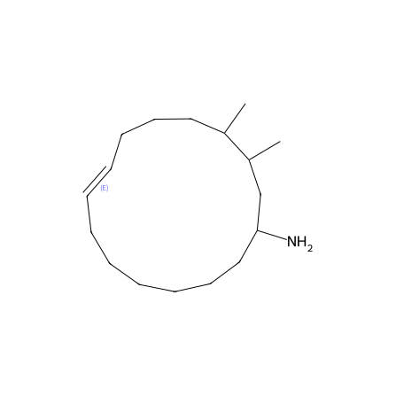 CC1CCC/C=C/CCCCCCC(N)CC1C